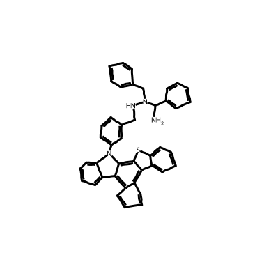 NC(c1ccccc1)N(Cc1ccccc1)NCc1cccc(-n2c3ccccc3c3c4ccccc4c4c5ccccc5sc4c32)c1